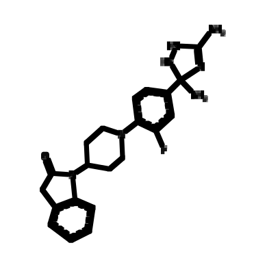 NC1=NC(N)(c2ccc(N3CCC(N4C(=O)Cc5ccccc54)CC3)c(F)c2)NN1